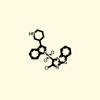 O=S(=O)(c1c(Cl)nc2sc3ccccc3n12)n1cc(C2CCCNC2)c2ccccc21